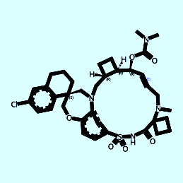 CN(C)C(=O)O[C@H]1/C=C/CN(C)C2(CCC2)C(=O)NS(=O)(=O)c2ccc3c(c2)N(C[C@@H]2CC[C@H]21)C[C@@]1(CCCc2cc(Cl)ccc21)CO3